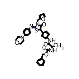 CC(NC(=O)OCc1ccccc1)C(=O)Nc1ccc(C2S/C(=N\c3ccc(N4CCOCC4)cc3)N(Cc3ccco3)C2=O)cc1